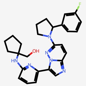 OCC1(Nc2cccc(-c3cnc4ccc(N5CCCC5c5cccc(F)c5)nn34)n2)CCCC1